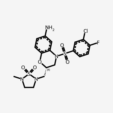 CN1CCN(C[C@H]2CN(S(=O)(=O)c3ccc(F)c(Cl)c3)c3cc(N)ccc3O2)S1(=O)=O